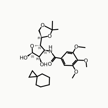 C1CCC2(CC1)CC2.COc1cc(C(=O)N[C@H]2[C@@H](O)[C@@H](O)O[C@@H]2[C@H]2COC(C)(C)O2)cc(OC)c1OC